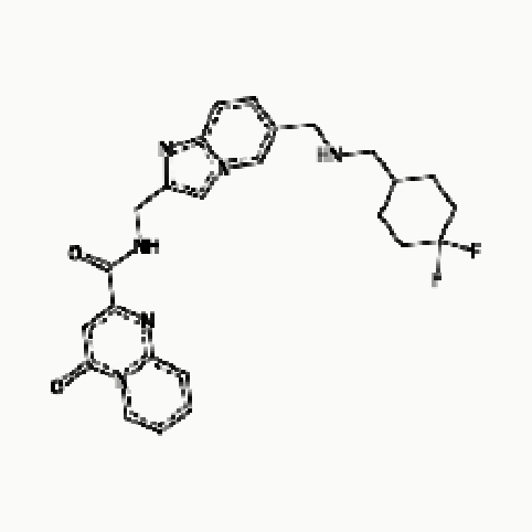 O=C(NCc1cn2cc(CNCC3CCC(F)(F)CC3)ccc2n1)c1cc(=O)n2ccccc2n1